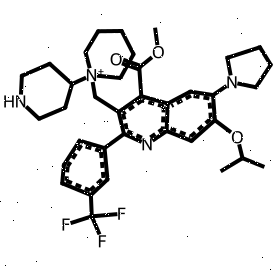 COC(=O)c1c(C[N+]2(C3CCNCC3)CCCCC2)c(-c2cccc(C(F)(F)F)c2)nc2cc(OC(C)C)c(N3CCCC3)cc12